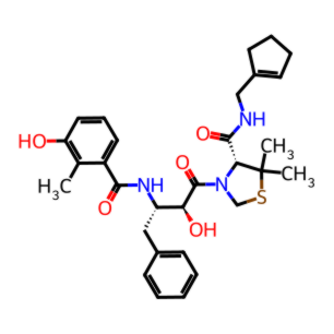 Cc1c(O)cccc1C(=O)N[C@@H](Cc1ccccc1)[C@H](O)C(=O)N1CSC(C)(C)[C@H]1C(=O)NCC1=CCCC1